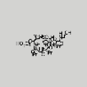 C#CCNC(=O)C(=O)[C@H](CCC)NC(=O)[C@@H]1CCCN1C(=O)[C@@H](NC(=O)[C@@H](NC(=O)[C@H](CCC(=O)O)NC(=O)[C@H](CCC(=O)O)NC(C)=O)C(C)C)C(C)C